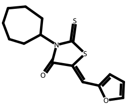 O=C1C(=Cc2ccco2)SC(=S)N1C1CCCCCC1